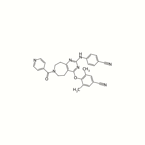 Cc1cc(C#N)cc(C)c1Oc1nc(Nc2ccc(C#N)cc2)nc2c1CCN(C(=O)c1ccncc1)CC2